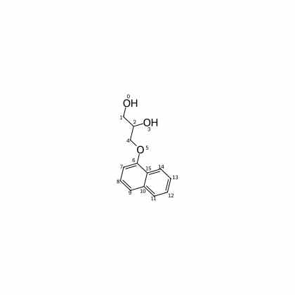 OCC(O)COc1cccc2ccccc12